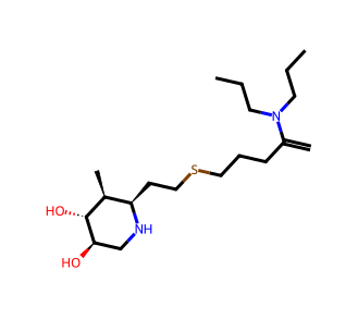 C=C(CCCSCC[C@H]1NC[C@@H](O)[C@H](O)[C@H]1C)N(CCC)CCC